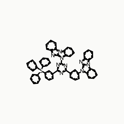 c1ccc(S(c2ccccc2)(c2ccccc2)c2cccc(-c3nc(-c4cccc(-n5c6ccccc6n6c7ccccc7nc56)c4)nc(-n4c5ccccc5n5c6ccccc6nc45)n3)c2)cc1